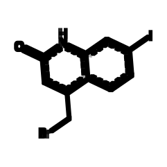 O=c1cc(CBr)c2ccc(I)cc2[nH]1